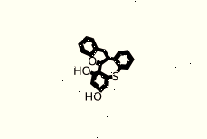 O=C1c2c(O)cc(O)cc2Sc2ccccc2C1Cc1ccccc1